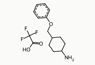 NC1CCC(COc2ccccc2)CC1.O=C(O)C(F)(F)F